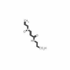 C=CC[S+]([O-])C=CC(=O)NCCC(=O)O